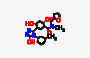 Cc1cccc(-n2c(O)nnc2-c2cc(C(=O)N(C)Cc3ccco3)c(O)cc2O)c1